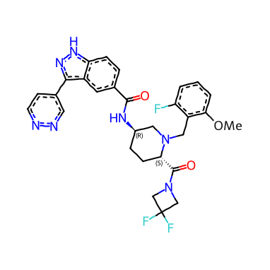 COc1cccc(F)c1CN1C[C@H](NC(=O)c2ccc3[nH]nc(-c4ccnnc4)c3c2)CC[C@H]1C(=O)N1CC(F)(F)C1